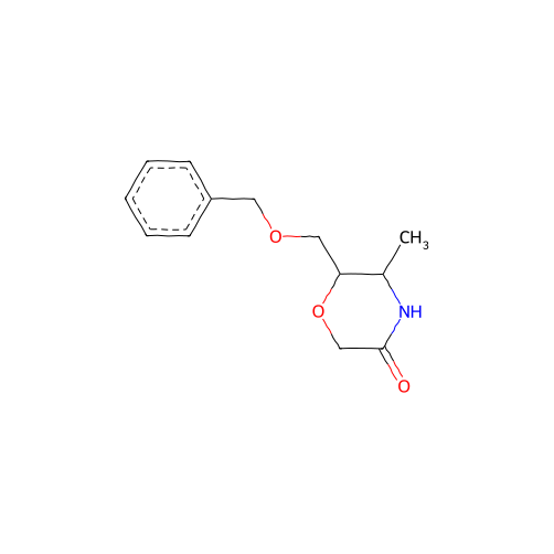 CC1NC(=O)COC1COCc1ccccc1